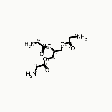 NCC(=O)OCC(COC(=O)CN)OC(=O)CN